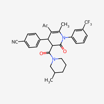 CC(=O)C1=C(C)N(c2cccc(C(F)(F)F)c2)C(=O)C(C(=O)N2CCCC(C)C2)C1c1ccc(C#N)cc1